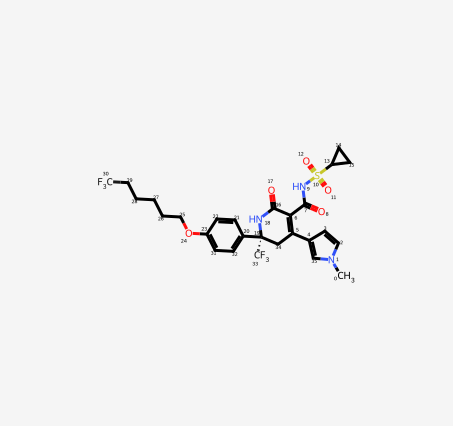 Cn1ccc(C2=C(C(=O)NS(=O)(=O)C3CC3)C(=O)N[C@@](c3ccc(OCCCCCC(F)(F)F)cc3)(C(F)(F)F)C2)c1